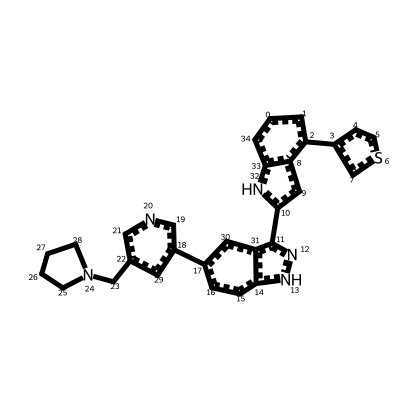 c1cc(-c2ccsc2)c2cc(-c3n[nH]c4ccc(-c5cncc(CN6CCCC6)c5)cc34)[nH]c2c1